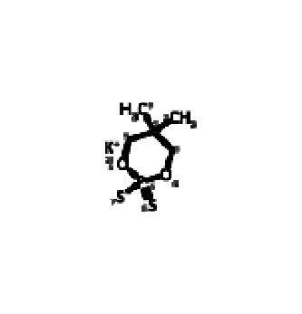 CC1(C)COP(=S)([S-])OC1.[K+]